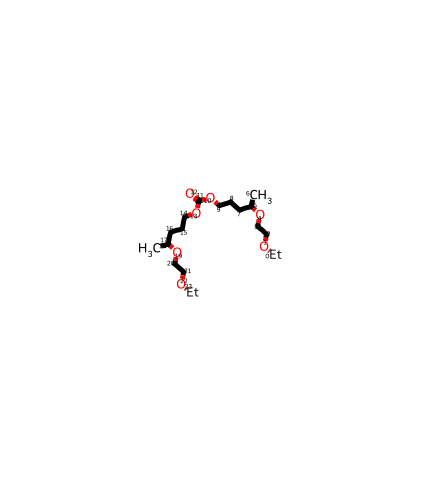 CCOCCOC(C)CCCOC(=O)OCCCC(C)OCCOCC